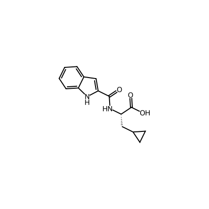 O=C(N[C@@H](CC1CC1)C(=O)O)c1cc2ccccc2[nH]1